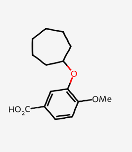 COc1ccc(C(=O)O)cc1OC1CCCCCC1